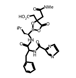 CNC(=O)CC1(CC(=O)O)OB([C@H](CC(C)C)NC(=O)C(Cc2ccccc2)NC(=O)c2cnccn2)OC1=O